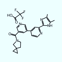 Cc1nc(-c2cc(-c3cncc(C(=O)N4CCC5(CC5)C4)c3)ccn2)[nH]c1C.O=C(O)C(F)(F)F